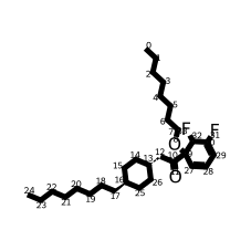 CCCCCCCCOC1(C(=O)C[C@H]2CC[C@H](CCCCCCCC)CC2)C=CC=C(F)C1F